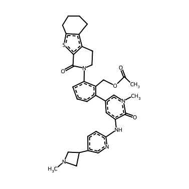 CC(=O)OCc1c(-c2cc(Nc3ccc(C4CN(C)C4)cn3)c(=O)n(C)c2)cccc1N1CCc2c(sc3c2CCCC3)C1=O